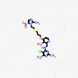 Cc1nc(C)c(Cl)c(NCc2nccc(OCCCSCCn3c([N+](=O)[O-])cnc3C)c2C)n1